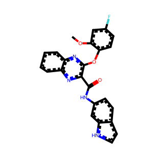 COc1cc(F)ccc1Oc1nc2ccccc2nc1C(=O)Nc1ccc2cc[nH]c2c1